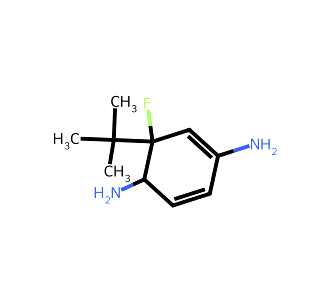 CC(C)(C)C1(F)C=C(N)C=CC1N